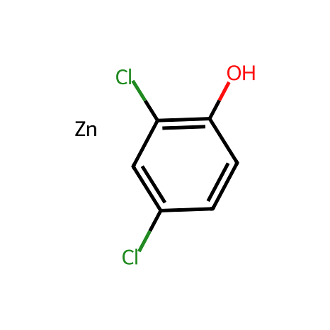 Oc1ccc(Cl)cc1Cl.[Zn]